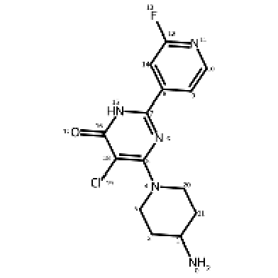 NC1CCN(c2nc(-c3ccnc(F)c3)[nH]c(=O)c2Cl)CC1